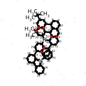 CC(C)(C)c1cc(-c2cccc3cccc(-c4ccccc4N(c4ccc(-c5cccc6c7ccccc7n(-c7ccccc7)c56)cc4)c4ccccc4-c4ccccc4)c23)cc(C(C)(C)C)c1